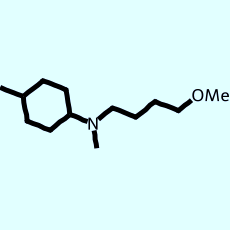 COCCCCN(C)C1CCC(C)CC1